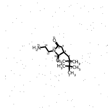 CC(C)(C)C(C)(C)CC1CC(=O)N(CCN)C1=O